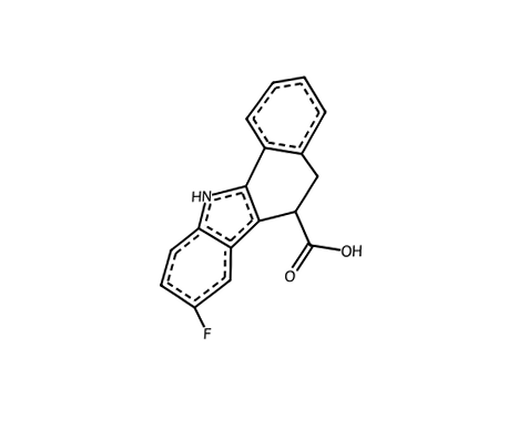 O=C(O)C1Cc2ccccc2-c2[nH]c3ccc(F)cc3c21